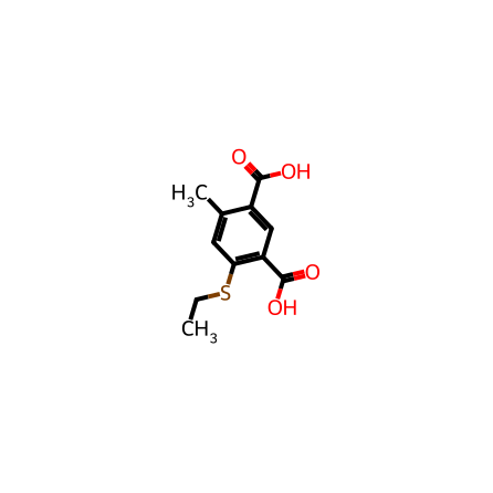 CCSc1cc(C)c(C(=O)O)cc1C(=O)O